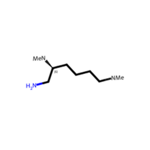 CNCCCC[C@@H](CN)NC